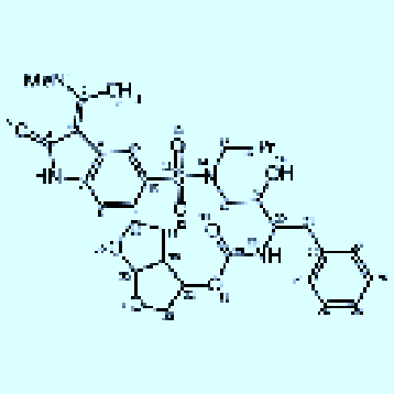 CNC(C)=C1C(=O)Nc2ccc(S(=O)(=O)N(CC(C)C)CC(O)C(Cc3ccccc3)NC(=O)OC3COC4OCCC34)cc21